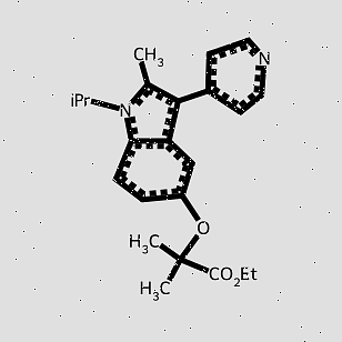 CCOC(=O)C(C)(C)Oc1ccc2c(c1)c(-c1ccncc1)c(C)n2C(C)C